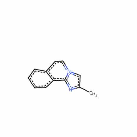 Cc1cn2ccc3ccccc3c2n1